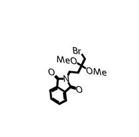 COC(CBr)(CCN1C(=O)c2ccccc2C1=O)OC